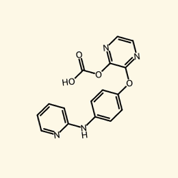 O=C(O)Oc1nccnc1Oc1ccc(Nc2ccccn2)cc1